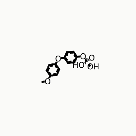 COc1ccc(Oc2ccc(OP(=O)(O)O)cc2)cc1